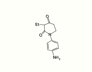 CCC1C(=O)CCN(c2ccc(N)cc2)C1=O